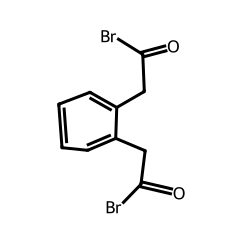 O=C(Br)Cc1ccccc1CC(=O)Br